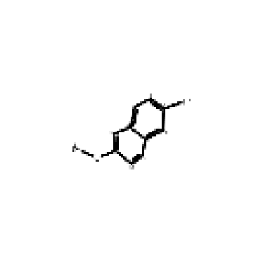 CC(C)Oc1[c]c2ccc(I)cc2cc1